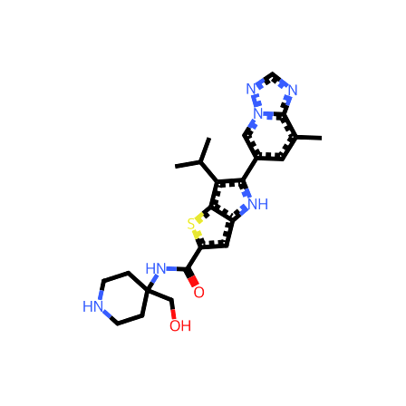 Cc1cc(-c2[nH]c3cc(C(=O)NC4(CO)CCNCC4)sc3c2C(C)C)cn2ncnc12